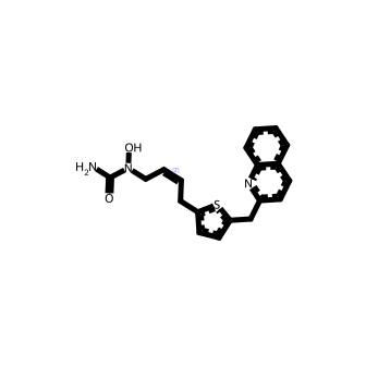 NC(=O)N(O)C/C=C\Cc1ccc(Cc2ccc3ccccc3n2)s1